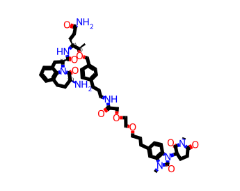 C[C@@H](OCc1ccc(CCCNC(=O)COCCOCCCc2ccc3c(c2)n(C)c(=O)n3C2CCC(=O)N(C)C2=O)cc1)[C@H](CCC(N)=O)NC(=O)[C@@H]1Cc2cccc3c2N1C(=O)[C@@H](N)CC3